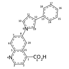 O=C(O)c1ccnc2ccc(-n3ccc(-c4ccccc4)c3)cc12